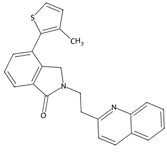 Cc1ccsc1-c1cccc2c1CN(CCc1ccc3ccccc3n1)C2=O